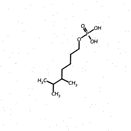 CC(C)C(C)CCCCOP(=O)(O)O